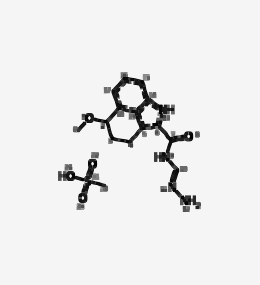 COC1CCc2c(C(=O)NC=NN)[nH]c3cccc1c23.CS(=O)(=O)O